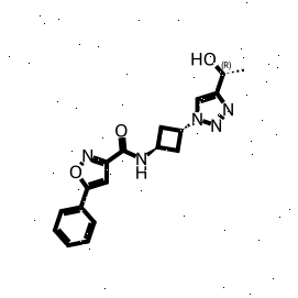 C[C@@H](O)c1cn([C@H]2C[C@H](NC(=O)c3cc(-c4ccccc4)on3)C2)nn1